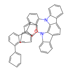 c1ccc(-c2cccc(-c3cccc(-n4c5ccccc5c5ccc6c7ccccc7n(-c7cccc8c7oc7ccccc78)c6c54)c3)c2)cc1